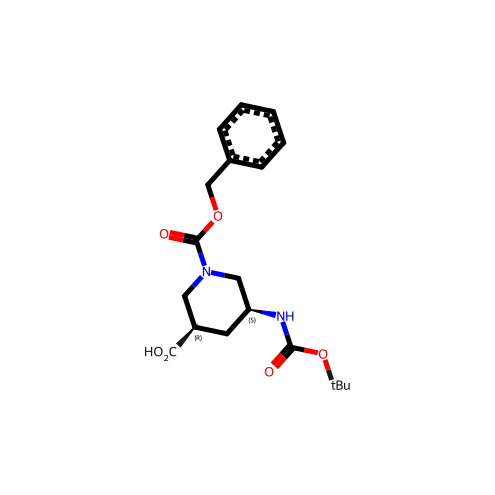 CC(C)(C)OC(=O)N[C@H]1C[C@@H](C(=O)O)CN(C(=O)OCc2ccccc2)C1